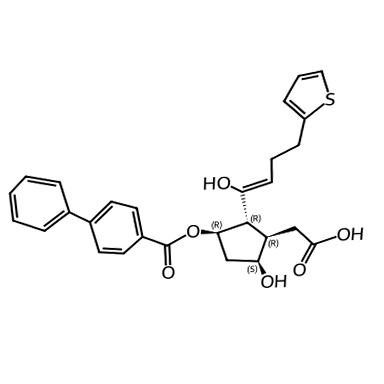 O=C(O)C[C@@H]1[C@@H](C(O)=CCCc2cccs2)[C@H](OC(=O)c2ccc(-c3ccccc3)cc2)C[C@@H]1O